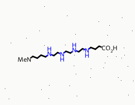 CNCCCCNCCNCCNCCNCCCC(=O)O